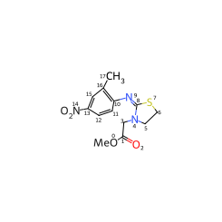 COC(=O)CN1CCSC1=Nc1ccc([N+](=O)[O-])cc1C